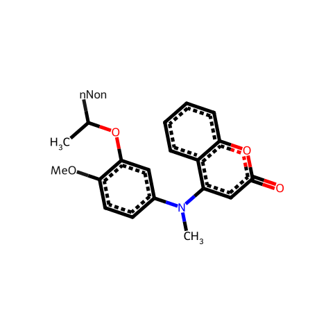 CCCCCCCCCC(C)Oc1cc(N(C)c2cc(=O)oc3ccccc23)ccc1OC